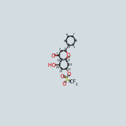 O=c1cc(-c2ccccc2)oc2cc(OS(=O)(=O)C(F)(F)F)cc(O)c12